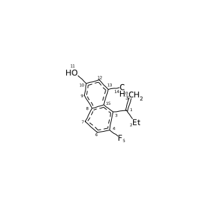 C=C(CC)c1c(F)ccc2cc(O)cc(C)c12